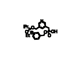 CCOP(=O)(OCc1cncc(CP(=O)(O)OCc2ccccc2)c1)C(C)C